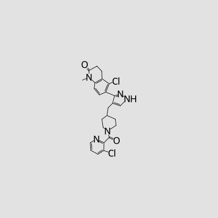 CN1C(=O)CCc2c1ccc(-c1n[nH]cc1CC1CCN(C(=O)c3ncccc3Cl)CC1)c2Cl